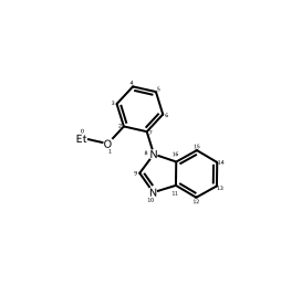 CCOc1ccccc1-n1cnc2ccccc21